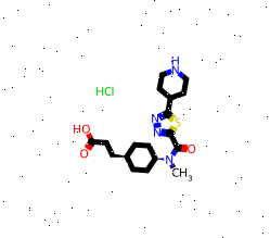 CN(C(=O)c1nnc(C2CCNCC2)s1)[C@H]1CC[C@H](CCC(=O)O)CC1.Cl